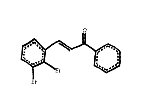 CCc1cccc(C=CC(=O)c2ccccc2)c1CC